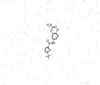 CC(C)(C)c1nc(C(=O)Nc2cnc(Cl)c(OC(N)=O)c2)cs1